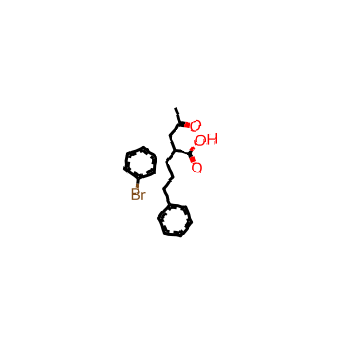 Brc1ccccc1.CC(=O)CC(CCCc1ccccc1)C(=O)O